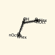 CCCCCCCCC(CCCCCC)C(=O)OCCCCCCCCCCCCN(CCCO)CCCCCCCCCCCCOC(=O)C(CCCCCC)CCCCCCCC